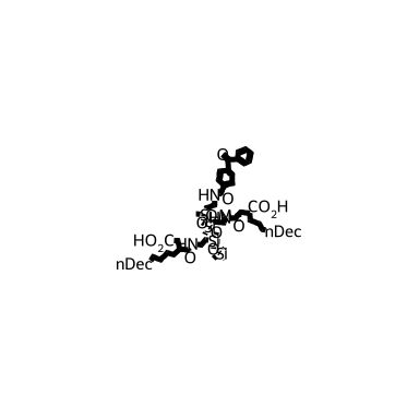 CCCCCCCCCCCCCCC(CC(=O)O)C(=O)NCC[Si](C)(O[Si](C)(C)C)O[Si](C)(CCNC(=O)CC(CCCCCCCCCCCCC)C(=O)O)O[Si](C)(CCNC(=O)c1ccc(C(=O)c2ccccc2)cc1)OC